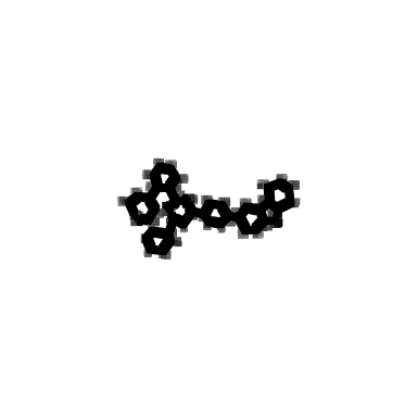 c1ccc(-c2cc(-c3ccc(-c4ccc5sc6ccccc6c5c4)cc3)nc(-c3ccccc3-c3ccncc3)n2)cc1